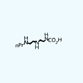 CCCNCCNCCNC(=O)O